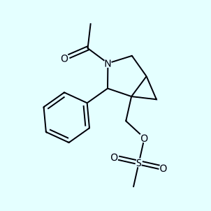 CC(=O)N1CC2CC2(COS(C)(=O)=O)C1c1ccccc1